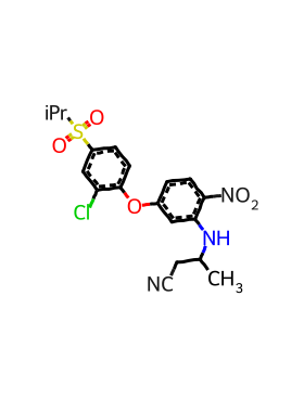 CC(CC#N)Nc1cc(Oc2ccc(S(=O)(=O)C(C)C)cc2Cl)ccc1[N+](=O)[O-]